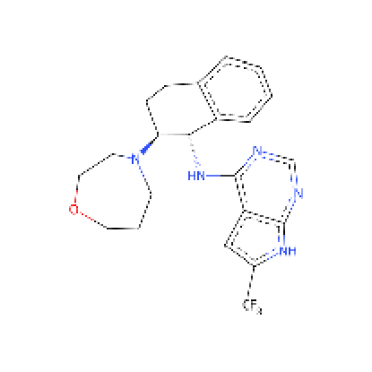 FC(F)(F)c1cc2c(N[C@H]3c4ccccc4CC[C@@H]3N3CCCOCC3)ncnc2[nH]1